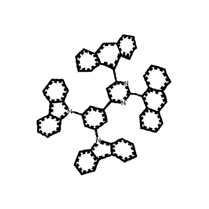 c1ccc2c(-c3cc(-c4cc(-n5c6ccccc6c6ccccc65)cc(-n5c6ccccc6c6ccccc65)c4)nc(-c4c5ccccc5cc5ccccc45)n3)c3ccccc3cc2c1